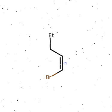 CCC/C=[C]\Br